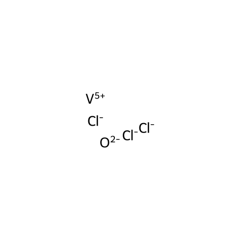 [Cl-].[Cl-].[Cl-].[O-2].[V+5]